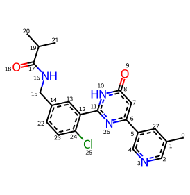 Cc1cncc(-c2cc(=O)[nH]c(-c3cc(CNC(=O)C(C)C)ccc3Cl)n2)c1